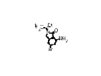 CC[C@H](N1Cc2cc(Br)cc(N)c2C1=O)C(F)(F)F